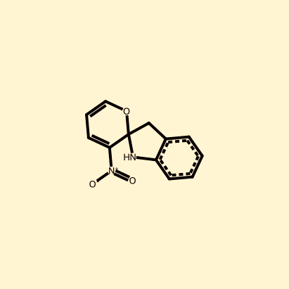 O=[N+]([O-])C1=CC=COC12Cc1ccccc1N2